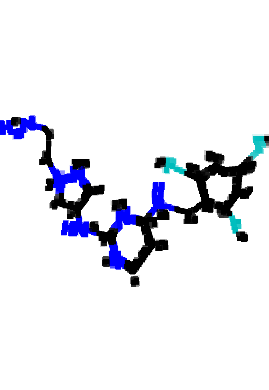 NCCn1cc(Nc2nccc(NCc3c(F)cc(F)cc3F)n2)cn1